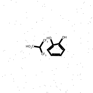 O=C(O)C(C(F)(F)F)C(F)(F)F.Oc1ccccc1O